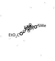 CCOC(=O)c1ccc(COCc2csc3nc(C(=O)NCc4cccc(CSC)c4)[nH]c(=O)c23)cc1